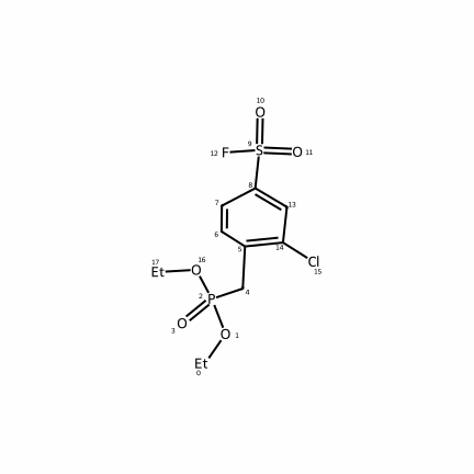 CCOP(=O)(Cc1ccc(S(=O)(=O)F)cc1Cl)OCC